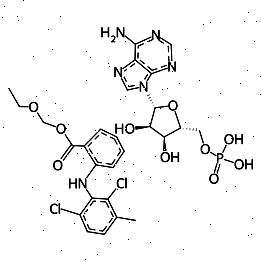 CCOCOC(=O)c1ccccc1Nc1c(Cl)ccc(C)c1Cl.Nc1ncnc2c1ncn2[C@@H]1O[C@H](COP(=O)(O)O)[C@@H](O)[C@H]1O